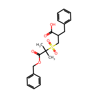 CC(C)(C(=O)OCc1ccccc1)S(=O)(=O)CC(Cc1ccccc1)C(=O)O